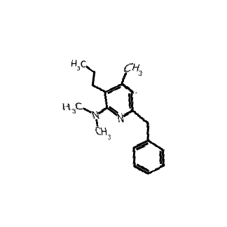 CCCc1c(C)[c]c(Cc2ccccc2)nc1N(C)C